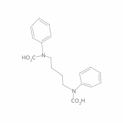 O=C(O)N(CCCCN(C(=O)O)c1ccccc1)c1ccccc1